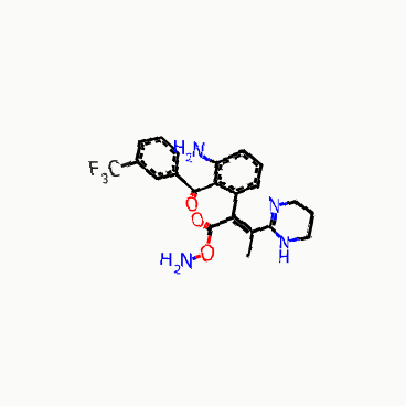 CC(C1=NCCCN1)=C(C(=O)ON)c1cccc(N)c1C(=O)c1cccc(C(F)(F)F)c1